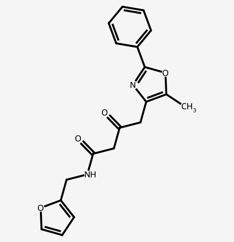 Cc1oc(-c2ccccc2)nc1CC(=O)CC(=O)NCc1ccco1